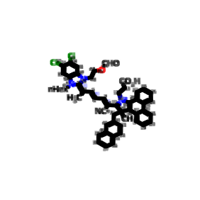 CCCCCCN1/C(=C(C)/C=C/C=C(\C#N)C2=[N+](CCC(=O)O)c3c(c4ccccc4c4ccccc34)C2(C)Cc2ccc3ccccc3c2)N(CCOC=O)c2cc(Cl)c(Cl)cc21